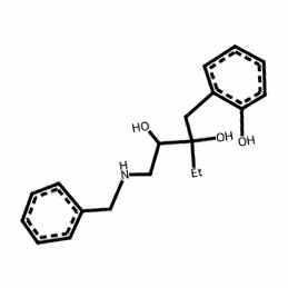 CCC(O)(Cc1ccccc1O)C(O)CNCc1ccccc1